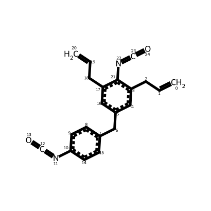 C=CCc1cc(Cc2ccc(N=C=O)cc2)cc(CC=C)c1N=C=O